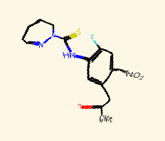 COC(=O)Cc1cc(NC(=S)N2CCCC=N2)c(F)cc1[N+](=O)[O-]